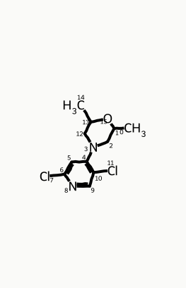 CC1CN(c2cc(Cl)ncc2Cl)CC(C)O1